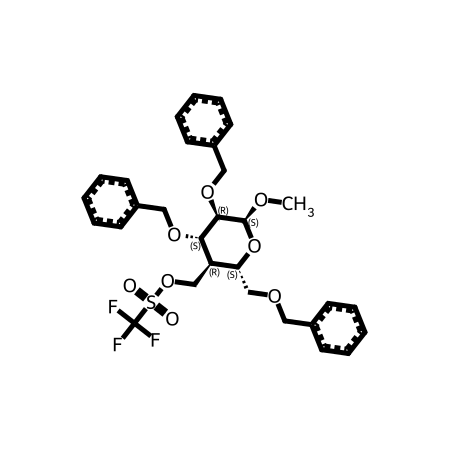 CO[C@H]1O[C@H](COCc2ccccc2)[C@@H](COS(=O)(=O)C(F)(F)F)[C@H](OCc2ccccc2)[C@H]1OCc1ccccc1